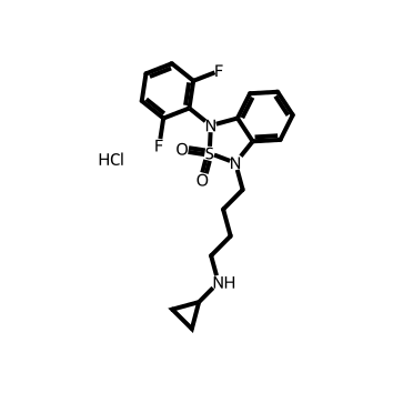 Cl.O=S1(=O)N(CCCCNC2CC2)c2ccccc2N1c1c(F)cccc1F